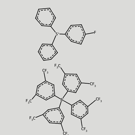 FC(F)(F)c1cc([B-](c2cc(C(F)(F)F)cc(C(F)(F)F)c2)(c2cc(C(F)(F)F)cc(C(F)(F)F)c2)c2cc(C(F)(F)F)cc(C(F)(F)F)c2)cc(C(F)(F)F)c1.Fc1ccc([S+](c2ccccc2)c2ccccc2)cc1